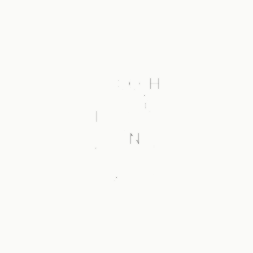 O=C(O)C(F)(Cl)n1cccc1